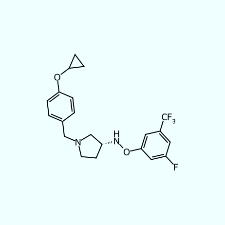 Fc1cc(ON[C@@H]2CCN(Cc3ccc(OC4CC4)cc3)C2)cc(C(F)(F)F)c1